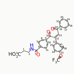 O=C(O)CCNC(=O)c1ccc(C(=O)/C(=C\C(=O)c2ccccc2)c2ccc(OC(F)(F)F)cc2)cc1